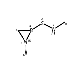 CNSB1C[N@@]1C